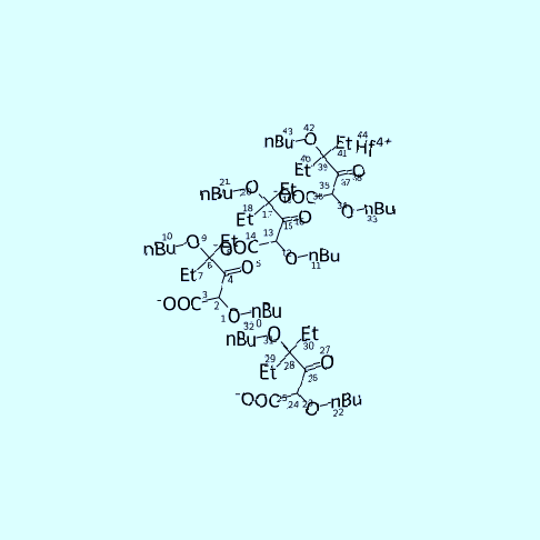 CCCCOC(C(=O)[O-])C(=O)C(CC)(CC)OCCCC.CCCCOC(C(=O)[O-])C(=O)C(CC)(CC)OCCCC.CCCCOC(C(=O)[O-])C(=O)C(CC)(CC)OCCCC.CCCCOC(C(=O)[O-])C(=O)C(CC)(CC)OCCCC.[Hf+4]